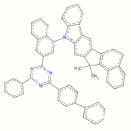 CC1(C)c2cc3c(cc2-c2ccc4ccccc4c21)c1ccccc1n3-c1cc(-c2nc(-c3ccccc3)nc(-c3ccc(-c4ccccc4)cc3)n2)cc2ccccc12